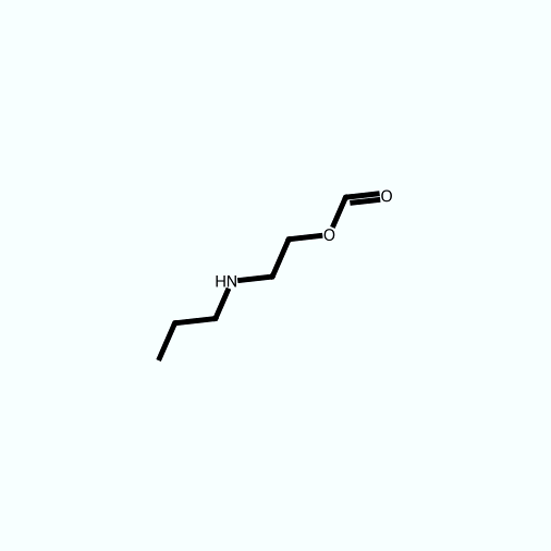 CCCNCCOC=O